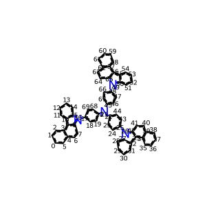 c1ccc2c(c1)ccc1c2c2ccccc2n1-c1ccc(N(c2ccc(-n3c4ccccc4c4c5ccccc5ccc43)cc2)c2ccc(-n3c4ccccc4c4c5ccccc5ccc43)cc2)cc1